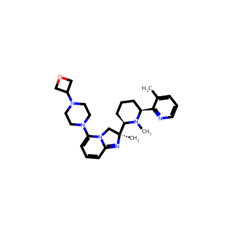 Cc1cccnc1[C@@H]1CCC[C@H]([C@]2(C)CN3C(N4CCN(C5COC5)CC4)=CC=CC3=N2)N1C